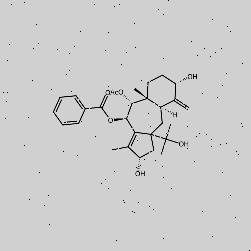 C=C1[C@H]2CC3(C(C)(C)O)C[C@H](O)C(C)=C3[C@@H](OC(=O)c3ccccc3)[C@H](OC(C)=O)[C@]2(C)CC[C@@H]1O